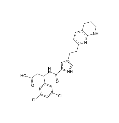 O=C(O)CC(NC(=O)c1cc(CCc2ccc3c(n2)NCCC3)c[nH]1)c1cc(Cl)cc(Cl)c1